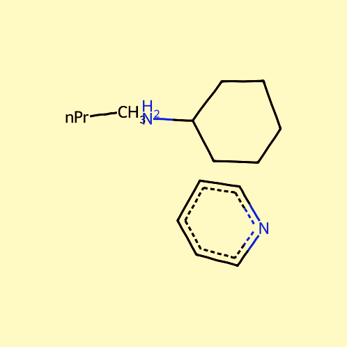 CCCC.NC1CCCCC1.c1ccncc1